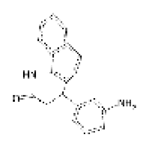 Nc1cccc(C2CC(=O)Nc3c2ccc2ccccc32)c1